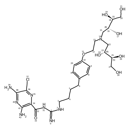 N=C(NCCCCc1ccc(OCCN(C[C@@H](O)[C@@H](O)CO)C[C@@H](O)[C@@H](O)CO)cc1)NC(=O)c1nc(Cl)c(N)nc1N